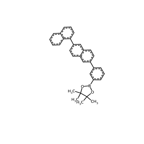 CC1(C)OB(c2cccc(-c3ccc4cc(-c5cccc6ccccc56)ccc4c3)c2)OC1(C)C